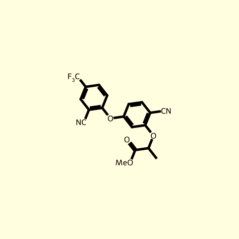 COC(=O)C(C)Oc1cc(Oc2ccc(C(F)(F)F)cc2C#N)ccc1C#N